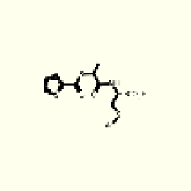 CC(=O)SC[C@H](NC(=O)C(C)SC(=O)c1cccs1)C(=O)O